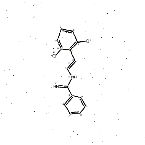 N=C(N/C=C/c1c(Cl)cccc1Cl)c1ccccc1